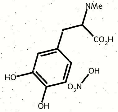 CNC(Cc1ccc(O)c(O)c1)C(=O)O.O=[N+]([O-])O